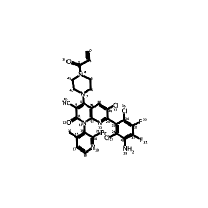 C=CC(=O)N1CCN(c2c(C#N)c(=O)n(-c3c(C)ccnc3C(C)C)c3nc(-c4c(Cl)c(N)c(F)c(F)c4Cl)c(Cl)cc23)CC1